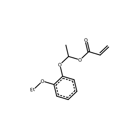 C=CC(=O)OC(C)Oc1ccccc1OCC